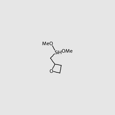 CO[SiH](CC1CCO1)OC